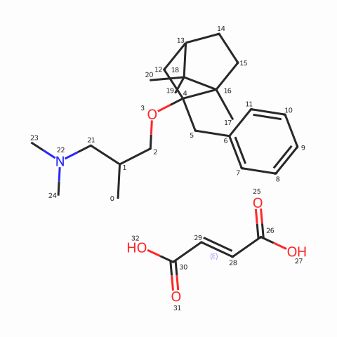 CC(COC1(Cc2ccccc2)CC2CCC1(C)C2(C)C)CN(C)C.O=C(O)/C=C/C(=O)O